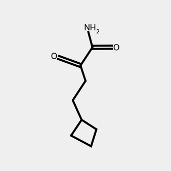 NC(=O)C(=O)CCC1CCC1